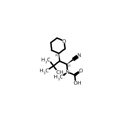 CN(C(=O)O)[C@H](C#N)C([C@H]1CCCOC1)C(C)(C)C